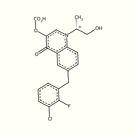 C[C@H](CO)n1cc(OC(=O)O)c(=O)c2cc(Cc3cccc(Cl)c3F)ccc21